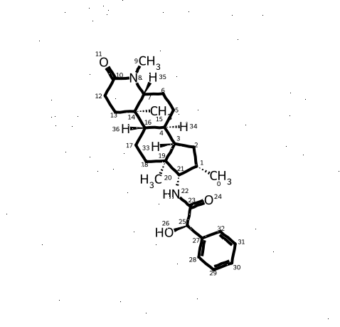 C[C@H]1C[C@H]2[C@@H]3CC[C@H]4N(C)C(=O)CC[C@]4(C)[C@H]3CC[C@]2(C)[C@H]1NC(=O)[C@H](O)c1ccccc1